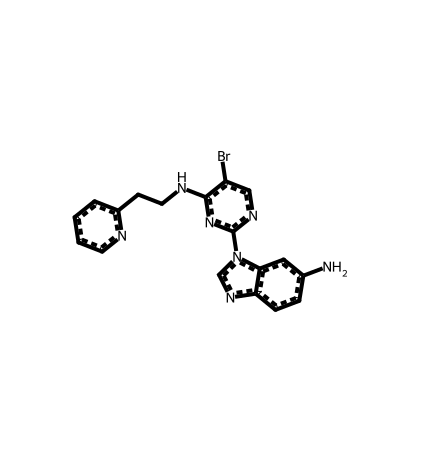 Nc1ccc2ncn(-c3ncc(Br)c(NCCc4ccccn4)n3)c2c1